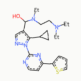 CCN(CC)CCN(CC)C(O)c1cnn(-c2nccc(-c3cccs3)n2)c1C1CC1